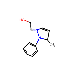 CC1C=CN(CCO)N1c1ccccc1